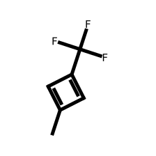 CC1=CC(C(F)(F)F)=C1